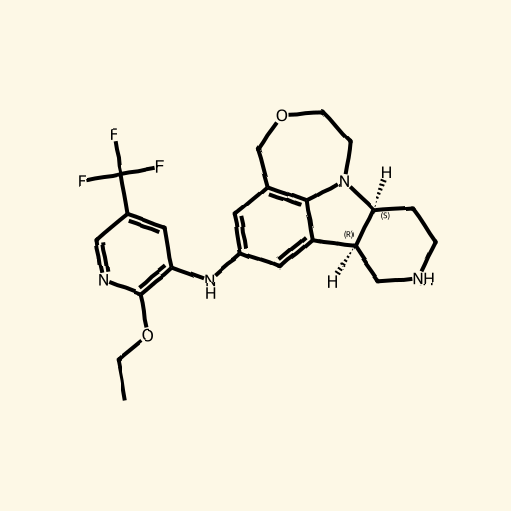 CCOc1ncc(C(F)(F)F)cc1Nc1cc2c3c(c1)[C@@H]1CNCC[C@@H]1N3CCOC2